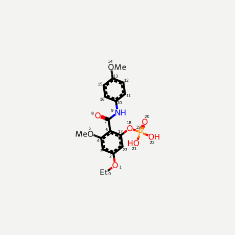 CCOc1cc(OC)c(C(=O)Nc2ccc(OC)cc2)c(OP(=O)(O)O)c1